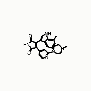 Cc1cccc2c(C3=C(c4ccnc(N5CCN(C)CC5)c4)C(=O)NC3=O)c[nH]c12